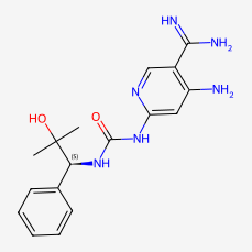 CC(C)(O)[C@@H](NC(=O)Nc1cc(N)c(C(=N)N)cn1)c1ccccc1